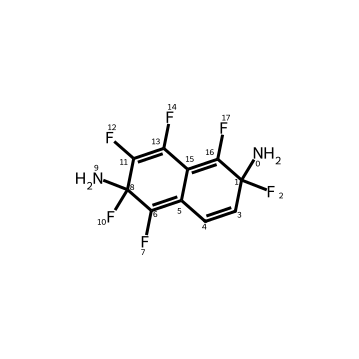 NC1(F)C=CC2=C(F)C(N)(F)C(F)=C(F)C2=C1F